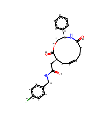 O=C(C[C@@H]1CC=CCCC(=O)N[C@@H](c2ccccc2)COC1=O)NCc1ccc(Cl)cc1